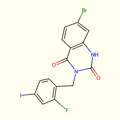 O=c1[nH]c2cc(Br)ccc2c(=O)n1Cc1ccc(I)cc1F